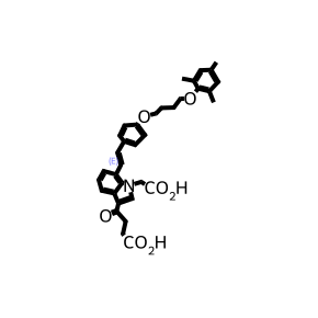 Cc1cc(C)c(OCCCCOc2ccc(/C=C/c3cccc4c(C(=O)CCC(=O)O)cn(CC(=O)O)c34)cc2)c(C)c1